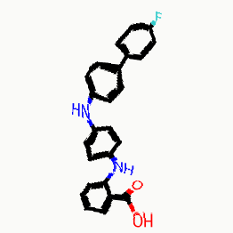 O=C(O)c1ccccc1Nc1ccc(Nc2ccc(-c3ccc(F)cc3)cc2)cc1